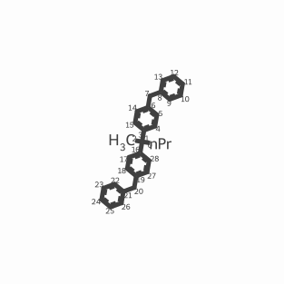 CCCC(C)(c1ccc(Cc2ccccc2)cc1)c1ccc(Cc2ccccc2)cc1